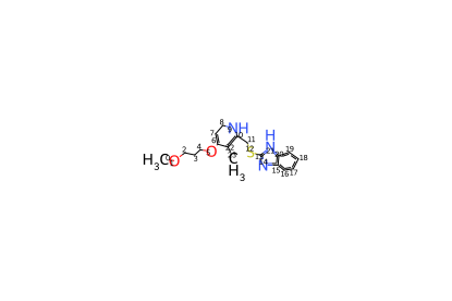 COCCCOC1=CCNC(CSc2nc3ccccc3[nH]2)=C1C